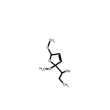 CCC(O)C1(OC)C=CC(OC)O1